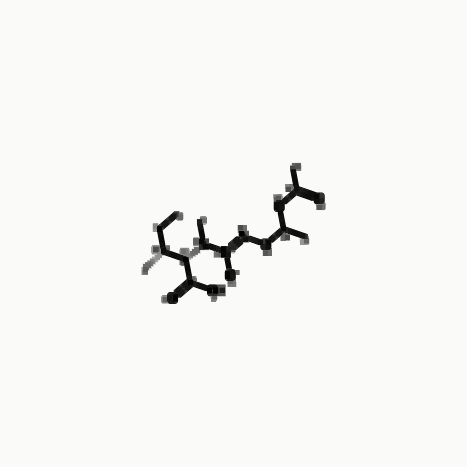 CC[C@@H](C)[C@@H](C(=O)O)N(C)[N+]([O-])=NOC(C)OC(C)=O